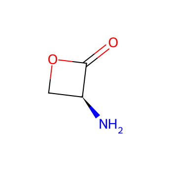 N[C@H]1COC1=O